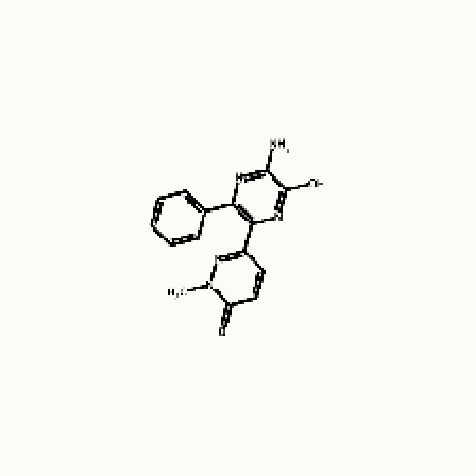 Cn1nc(-c2nc(O)c(N)nc2-c2ccccc2)ccc1=O